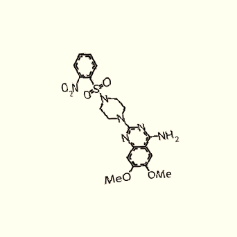 COc1cc2nc(N3CCN(S(=O)(=O)c4ccccc4[N+](=O)[O-])CC3)nc(N)c2cc1OC